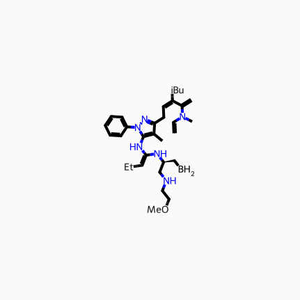 BC[C@@H](CNCCOC)N/C(=C/CC)Nc1c(C)c(C/C=C(\C(=C)N(C)C=C)C(C)CC)nn1-c1ccccc1